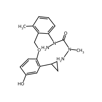 Cc1cccc(N(N)C(=O)N(C)N)c1COc1ccc(O)cc1C1CC1